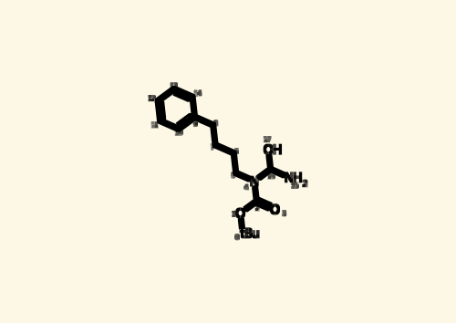 CC(C)(C)OC(=O)N(CCCCc1ccccc1)C(N)O